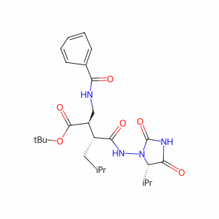 CC(C)C[C@@H](C(=O)NN1C(=O)NC(=O)[C@@H]1C(C)C)[C@H](CNC(=O)c1ccccc1)C(=O)OC(C)(C)C